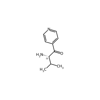 CC(C)[C@H](N)C(=O)c1ccncc1